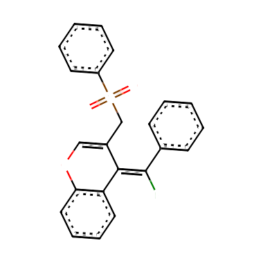 O=S(=O)(CC1=COc2ccccc2/C1=C(\Br)c1ccccc1)c1ccccc1